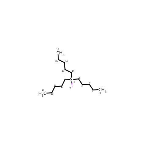 CCCCC[Si](I)(CCCCC)CCCCC